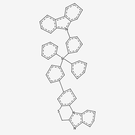 c1ccc([Si](c2ccccc2)(c2cccc(-c3ccc4c(c3)SCc3nc5ccccc5n3-4)c2)c2cccc(-n3c4ccccc4c4ccccc43)c2)cc1